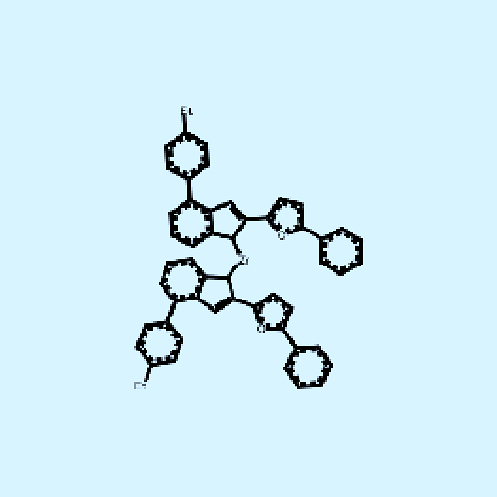 CCc1ccc(-c2cccc3c2C=C(c2ccc(-c4ccccc4)o2)[CH]3[Zr][CH]2C(c3ccc(-c4ccccc4)o3)=Cc3c(-c4ccc(CC)cc4)cccc32)cc1